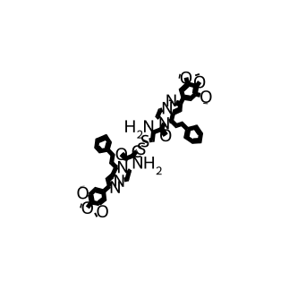 COc1cc(-c2cc3n(n2)CCN(C(=O)[C@@H](N)CSSC[C@H](N)C(=O)N2CCn4nc(-c5cc(OC)c(OC)c(OC)c5)cc4C2CCc2ccccc2)C3CCc2ccccc2)cc(OC)c1OC